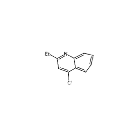 [CH2]Cc1cc(Cl)c2ccccc2n1